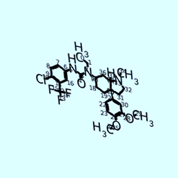 CCN(C(=O)Nc1ccc(Cl)c(C(F)(F)F)c1)[C@@H]1CC[C@@]2(c3ccc(OC)c(OC)c3)CCN(C)[C@H]2C1